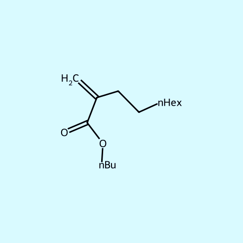 C=C(CCCCCCCC)C(=O)OCCCC